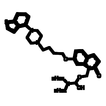 CCCCCCN(CCCCCC)C(O)OCn1c(=O)ccc2ccc(OCCCCN3CCN(c4cccc5sccc45)CC3)cc21